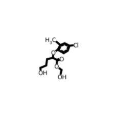 Cc1cc(Cl)ccc1OC(CCCO)C(=O)OCO